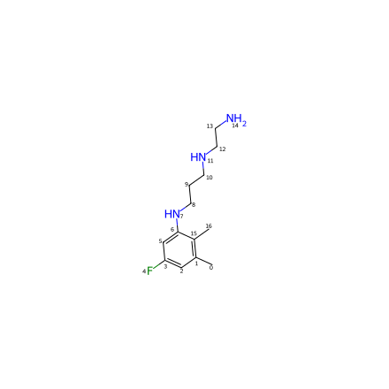 Cc1cc(F)cc(NCCCNCCN)c1C